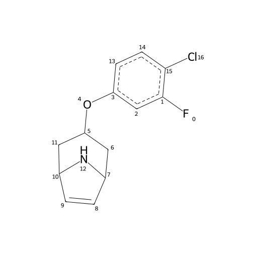 Fc1cc(OC2CC3C=CC(C2)N3)ccc1Cl